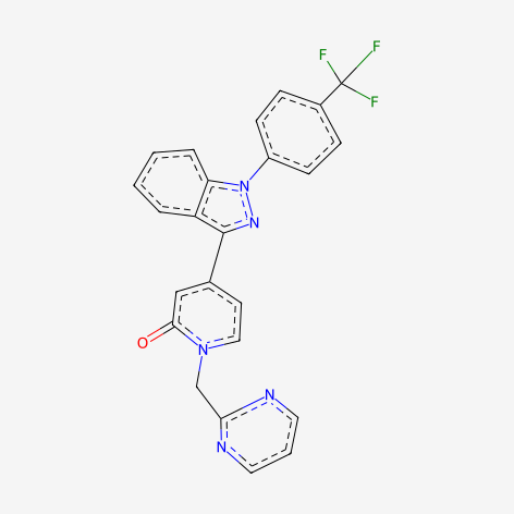 O=c1cc(-c2nn(-c3ccc(C(F)(F)F)cc3)c3ccccc23)ccn1Cc1ncccn1